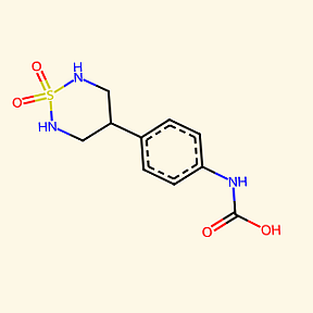 O=C(O)Nc1ccc(C2CNS(=O)(=O)NC2)cc1